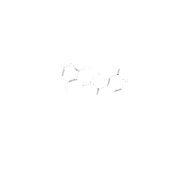 Cc1cc(C)c(CN(C(=O)c2cc[nH]c(=O)c2)C(C)C)c(O)n1